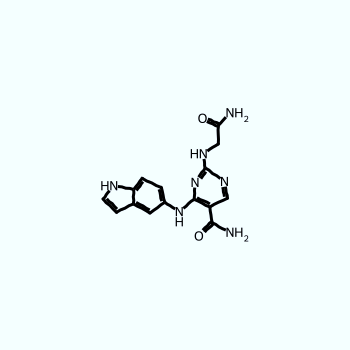 NC(=O)CNc1ncc(C(N)=O)c(Nc2ccc3[nH]ccc3c2)n1